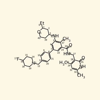 CCC1CC(Nc2cc(-c3ccc(CN4CCC(F)CC4)cc3)cc(C(=O)NCc3c(C)cc(C)[nH]c3=O)c2C)CCO1